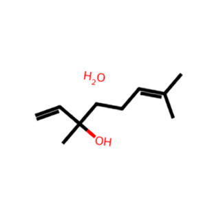 C=CC(C)(O)CCC=C(C)C.O